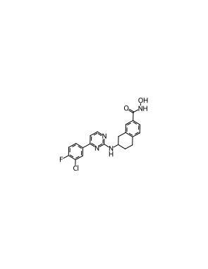 O=C(NO)c1ccc2c(c1)CC(Nc1nccc(-c3ccc(F)c(Cl)c3)n1)CC2